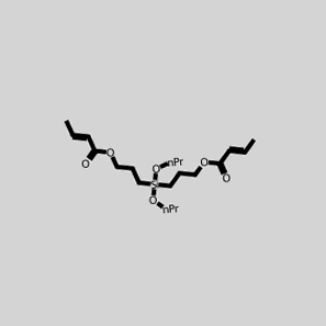 CC=CC(=O)OCCC[Si](CCCOC(=O)C=CC)(OCCC)OCCC